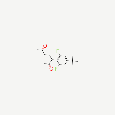 CC(=O)CCC(C(C)=O)c1c(F)cc(C(C)(C)C)cc1F